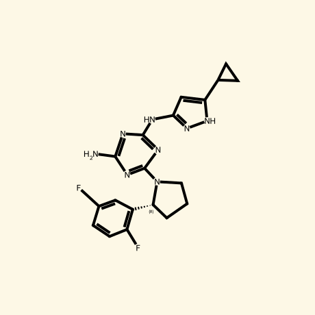 Nc1nc(Nc2cc(C3CC3)[nH]n2)nc(N2CCC[C@@H]2c2cc(F)ccc2F)n1